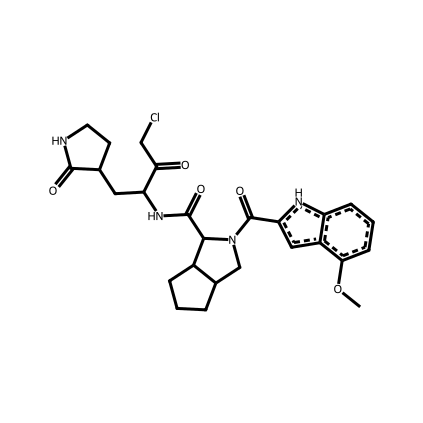 COc1cccc2[nH]c(C(=O)N3CC4CCCC4C3C(=O)NC(CC3CCNC3=O)C(=O)CCl)cc12